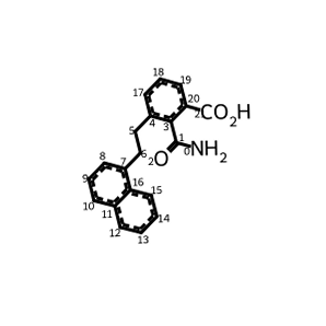 NC(=O)c1c(CCc2cccc3ccccc23)cccc1C(=O)O